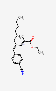 CCCCCCC(=Cc1ccc(C#N)cc1)/C=C(\C)C(=O)OCC